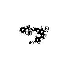 CCOc1c(C)c(CC(C)(C)CCNC(=O)c2ccccc2O)c(C)c2c1OCC2c1ccc(C(C)C)cc1